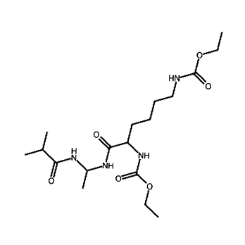 CCOC(=O)NCCCCC(NC(=O)OCC)C(=O)NC(C)NC(=O)C(C)C